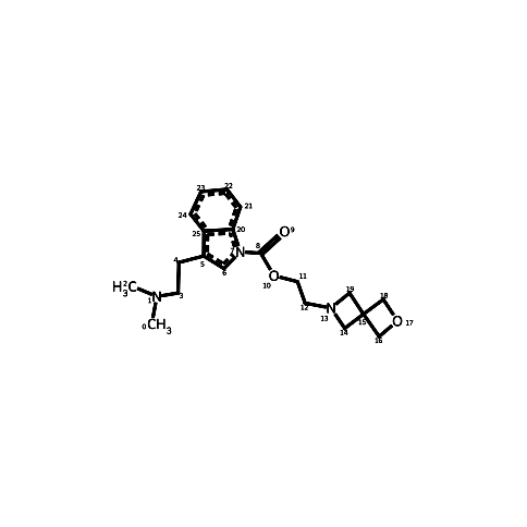 CN(C)CCc1cn(C(=O)OCCN2CC3(COC3)C2)c2ccccc12